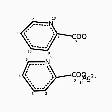 O=C([O-])c1ccccn1.O=C([O-])c1ccccn1.[Ag+2]